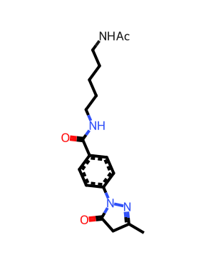 CC(=O)NCCCCCNC(=O)c1ccc(N2N=C(C)CC2=O)cc1